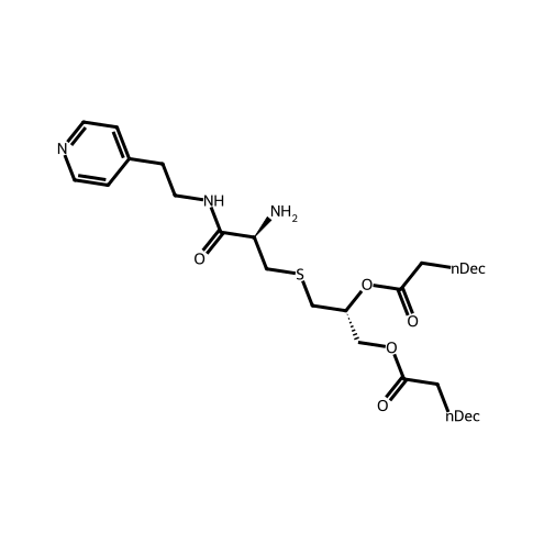 CCCCCCCCCCCC(=O)OC[C@H](CSC[C@H](N)C(=O)NCCc1ccncc1)OC(=O)CCCCCCCCCCC